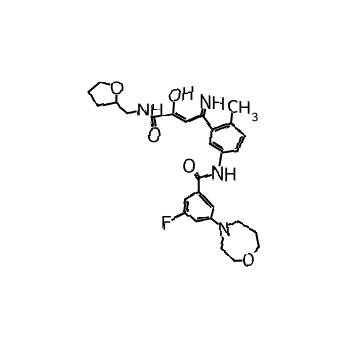 Cc1ccc(NC(=O)c2cc(F)cc(N3CCCOCC3)c2)cc1C(=N)/C=C(\O)C(=O)NCC1CCCO1